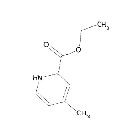 CCOC(=O)[C]1C=C(C)C=CN1